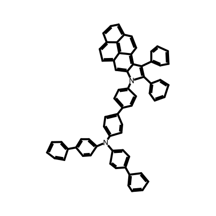 c1ccc(-c2ccc(N(c3ccc(-c4ccccc4)cc3)c3ccc(-c4ccc(-n5c(-c6ccccc6)c(-c6ccccc6)c6c7ccc8cccc9ccc(cc65)c7c98)cc4)cc3)cc2)cc1